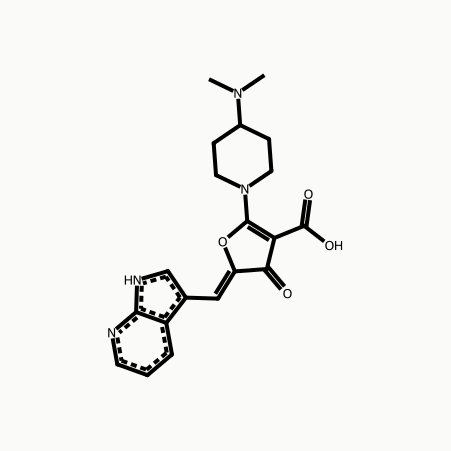 CN(C)C1CCN(C2=C(C(=O)O)C(=O)C(=Cc3c[nH]c4ncccc34)O2)CC1